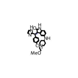 COCCN1CCC(Nc2ccc3c(c2)/C(=C(\c2ccc(C(F)(F)F)cc2)c2ncc[nH]2)C(=O)N3)CC1